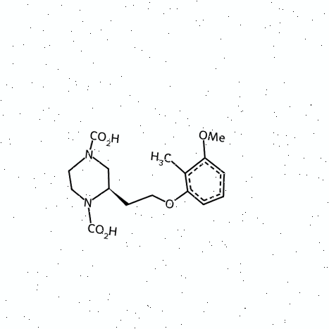 COc1cccc(OCC[C@@H]2CN(C(=O)O)CCN2C(=O)O)c1C